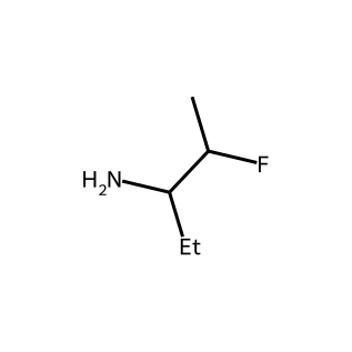 CCC(N)C(C)F